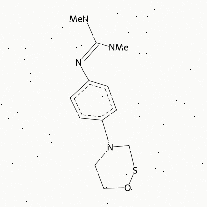 CNC(=Nc1ccc(N2CCOSC2)cc1)NC